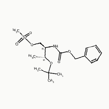 C[C@@H](OC(C)(C)C)[C@@H](COS(C)(=O)=O)NC(=O)OCc1ccccc1